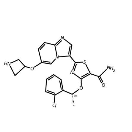 C[C@@H](Oc1nc(-c2cnc3ccc(OC4CNC4)cn23)sc1C(N)=O)c1ccccc1Cl